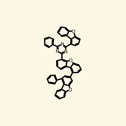 c1ccc(-c2nc(-c3cccc4c3oc3cccc(-c5cc(-c6ccccc6)c6c(c5)oc5ccccc56)c34)nc(-c3cccc4oc5ccccc5c34)n2)cc1